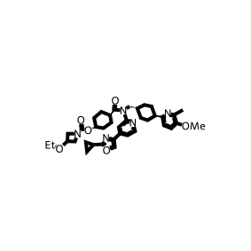 CCOC1CN(C(=O)O[C@H]2CC[C@H](C(=O)N(C[C@H]3CC[C@H](c4ccc(OC)c(C)n4)CC3)c3cc(-c4coc(C5CC5)n4)ccn3)CC2)C1